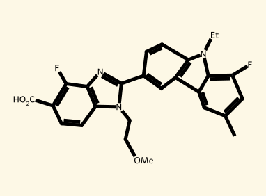 CCn1c2ccc(-c3nc4c(F)c(C(=O)O)ccc4n3CCOC)cc2c2cc(C)cc(F)c21